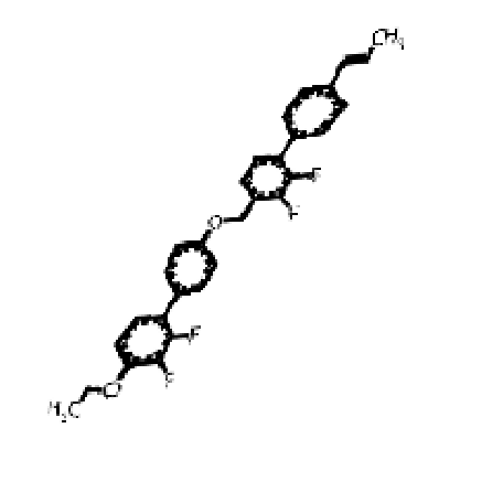 C/C=C/c1ccc(-c2ccc(COc3ccc(-c4ccc(OCC)c(F)c4F)cc3)c(F)c2F)cc1